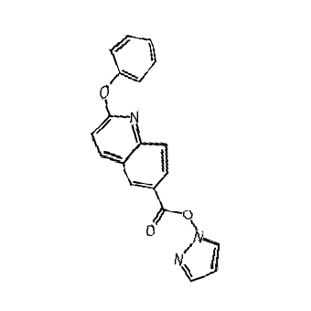 O=C(On1cccn1)c1ccc2nc(Oc3ccccc3)ccc2c1